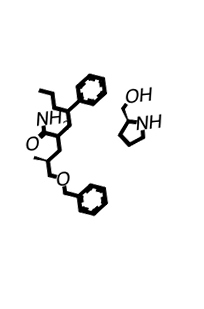 CCCC(CC(C[C@H](C)COCc1ccccc1)C(N)=O)c1ccccc1.OC[C@@H]1CCCN1